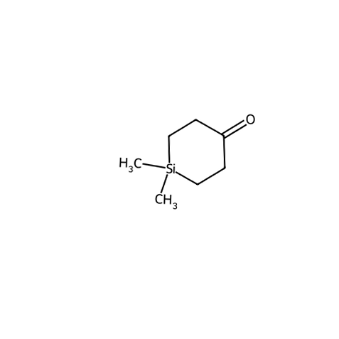 C[Si]1(C)CCC(=O)CC1